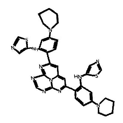 C1=NC2=NC(c3ccc(N4CCCCC4)cc3Nc3cncs3)=CC3=CC(c4ccc(N5CCCCC5)cc4Nc4cncs4)=NC(=N1)N32